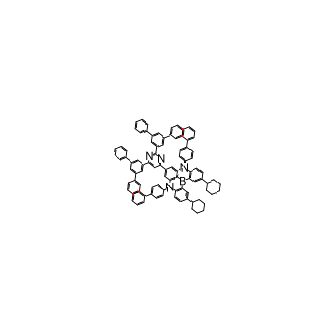 c1ccc(-c2ccc(N3c4ccc(C5CCCCC5)cc4B4c5cc(C6CCCCC6)ccc5N(c5ccc(-c6ccccc6)cc5)c5cc(-c6cc(-c7cc(-c8ccccc8)cc(-c8ccccc8)c7)nc(-c7cc(-c8ccccc8)cc(-c8ccccc8)c7)n6)cc3c54)cc2)cc1